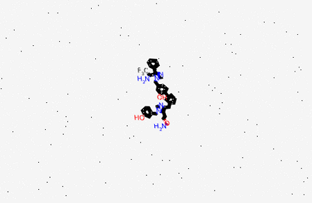 NOCCc1c(Cc2cccc(-c3ccc(Cn4cnc(-c5ccccc5)c4C(N)C(F)(F)F)cc3O)c2)ncn1Cc1cccc(O)c1